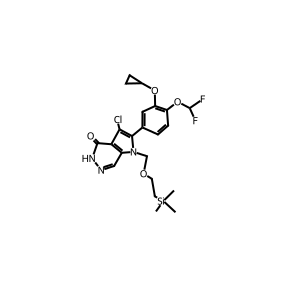 C[Si](C)(C)CCOCn1c(-c2ccc(OC(F)F)c(OC3CC3)c2)c(Cl)c2c(=O)[nH]ncc21